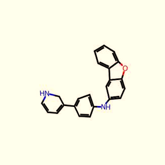 C1=CNCC(c2ccc(Nc3ccc4oc5ccccc5c4c3)cc2)=C1